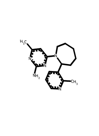 Cc1cc(N2CCCCCC2c2cccnc2C)nc(N)n1